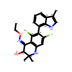 CCO/N=C1\c2c(cc(F)c(-c3cccc4c(C)c[nH]c34)c2F)NC(C)(C)C1O